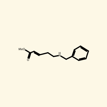 COC(=O)C=CCCNCc1ccccc1